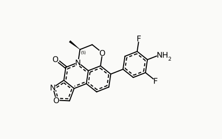 C[C@H]1COc2c(-c3cc(F)c(N)c(F)c3)ccc3c4conc4c(=O)n1c23